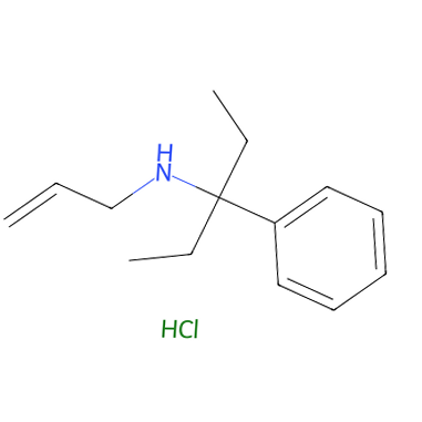 C=CCNC(CC)(CC)c1ccccc1.Cl